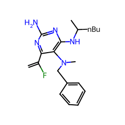 C=C(F)c1nc(N)nc(NC(C)CCCC)c1N(C)Cc1ccccc1